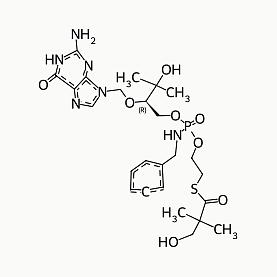 CC(C)(CO)C(=O)SCCOP(=O)(NCc1ccccc1)OC[C@@H](OCn1cnc2c(=O)[nH]c(N)nc21)C(C)(C)O